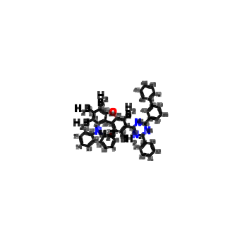 Bc1c(B)c(-n2c3ccccc3c3ccccc32)c2c(oc3c(B)c(-c4nc(-c5ccccc5)nc(-c5cccc(-c6ccccc6)c5)n4)c(B)c(B)c32)c1B